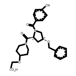 N#Cc1ccc(C(=O)N2C[C@H](OCc3ccccc3)C[C@H]2C(=O)N2CCC(OCC(=O)O)CC2)cc1